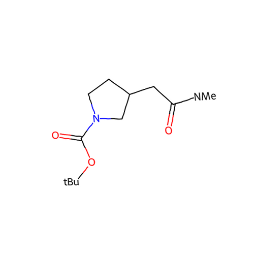 CNC(=O)CC1CCN(C(=O)OC(C)(C)C)C1